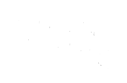 NC(=O)C1CC(Oc2ccc(C(F)(F)F)cc2)CC[N]1